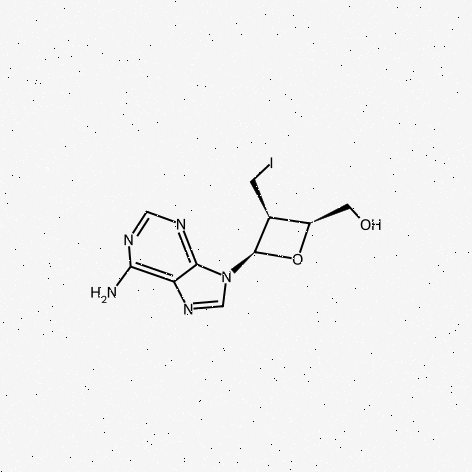 Nc1ncnc2c1ncn2[C@@H]1O[C@H](CO)[C@@H]1CI